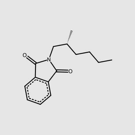 CCCC[C@@H](C)CN1C(=O)c2ccccc2C1=O